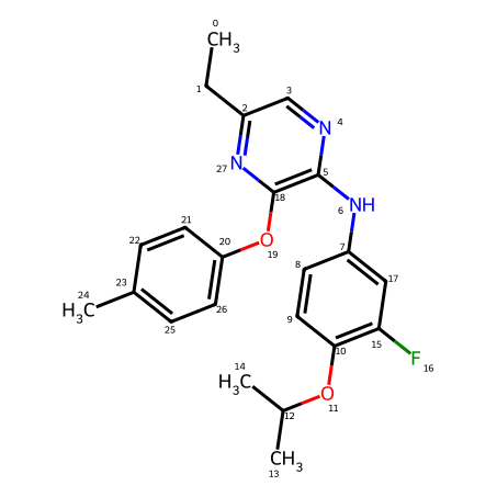 CCc1cnc(Nc2ccc(OC(C)C)c(F)c2)c(Oc2ccc(C)cc2)n1